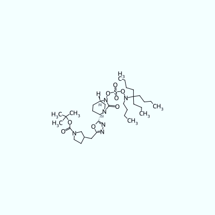 CCCCN(OS(=O)(=O)ON1C(=O)N2C[C@@H]1CC[C@H]2c1nnc(CC2CCN(C(=O)OC(C)(C)C)C2)o1)C(CCC)(CCCC)CCCC